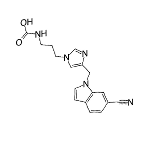 N#Cc1ccc2ccn(Cc3cn(CCCNC(=O)O)cn3)c2c1